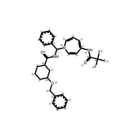 O=C(NC(c1ccccc1)N1C=CC=C(NC(=O)C(F)(F)F)C=C1)C1CCCC(OCc2ccccc2)C1